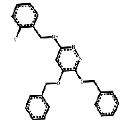 Fc1ccccc1CNc1cc(OCc2ccccc2)c(OCc2ccccc2)nn1